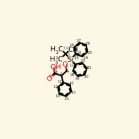 CC(C)(C)[Si](OCC(C(=O)O)c1ccccc1)(c1ccccc1)c1ccccc1